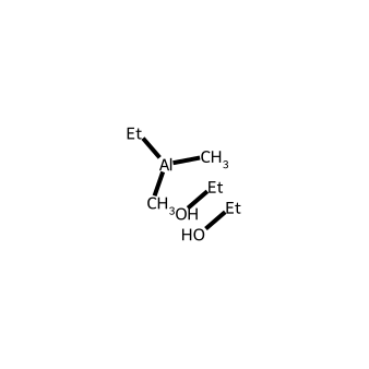 CCO.CCO.C[CH2][Al]([CH3])[CH3]